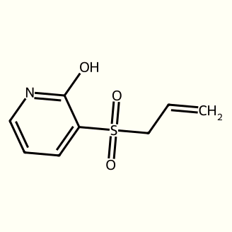 C=CCS(=O)(=O)c1cccnc1O